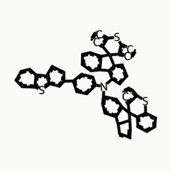 C1=CC2c3ccc(N(c4ccc(-c5ccc6c(c5)sc5ccccc56)cc4)c4cccc5c4-c4ccccc4C54c5ccccc5Sc5ccccc54)cc3C3(c4ccccc4Sc4ccccc43)C2C=C1